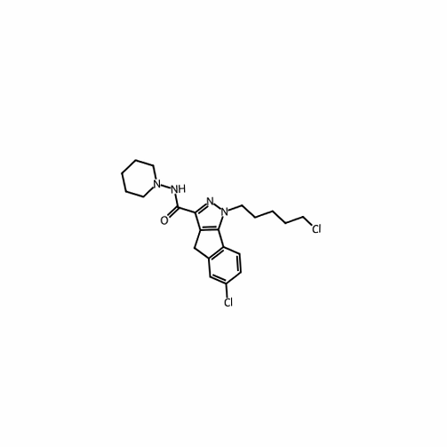 O=C(NN1CCCCC1)c1nn(CCCCCCl)c2c1Cc1cc(Cl)ccc1-2